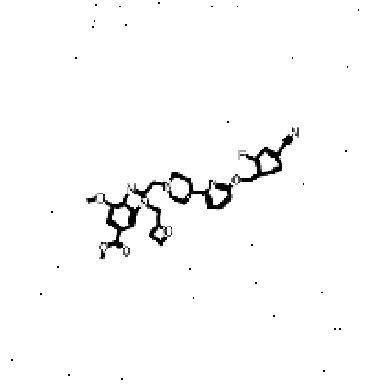 COC(=O)c1cc(OC)c2nc(CN3CCC(c4cccc(OCc5ccc(C#N)cc5F)n4)CC3)n(CC3CCO3)c2c1